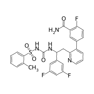 Cc1ccccc1S(=O)(=O)NC(=O)NC(Cc1ncccc1-c1ccc(F)c(C(N)=O)c1)c1cc(F)cc(F)c1